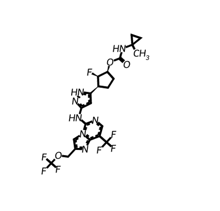 CC1(NC(=O)O[C@H]2CC[C@@H](c3cc(Nc4ncc(C(F)(F)F)c5nc(COC(F)(F)F)cn45)n[nH]3)[C@H]2F)CC1